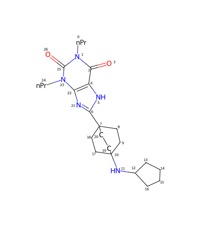 CCCn1c(=O)c2[nH]c(C34CCC(NC5CCCC5)(CC3)CC4)nc2n(CCC)c1=O